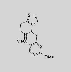 COc1ccc(OC)c(CC2NCCc3sccc32)c1